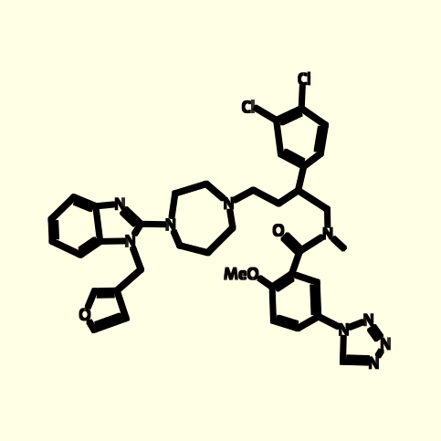 COc1ccc(-n2cnnn2)cc1C(=O)N(C)CC(CCN1CCCN(c2nc3ccccc3n2Cc2ccoc2)CC1)c1ccc(Cl)c(Cl)c1